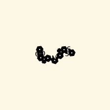 CC1(C)c2cc(-c3cccc(-c4ccc5c(c4)C(C)(C)c4ccc6c(c4-5)Sc4ccccc4S6)n3)ccc2-c2c1ccc1c2Oc2ccccc2O1